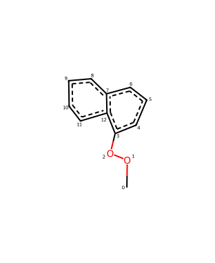 COOc1cccc2ccccc12